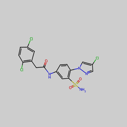 NS(=O)(=O)c1cc(NC(=O)Cc2cc(Cl)ccc2Cl)ccc1-n1cc(Cl)cn1